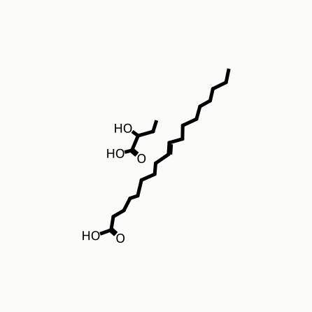 CCC(O)C(=O)O.CCCCCCCCC=CCCCCCCCC(=O)O